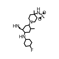 CC1CC(NC2CCC(F)CC2)C(C=N)CC1N1CCC(C)(NS(C)(=O)=O)CC1